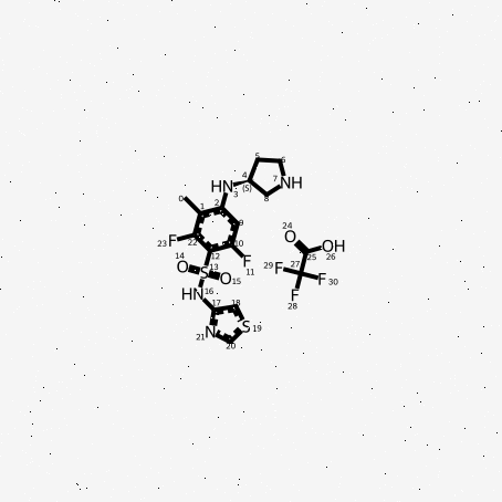 Cc1c(N[C@H]2CCNC2)cc(F)c(S(=O)(=O)Nc2cscn2)c1F.O=C(O)C(F)(F)F